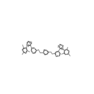 Cc1cc(C)c(-n2ccnc2-c2cccc(CCc3ccc(CCc4cccc(-c5nccn5-c5c(C)cc(C)cc5C)c4)cc3)c2)c(C)c1